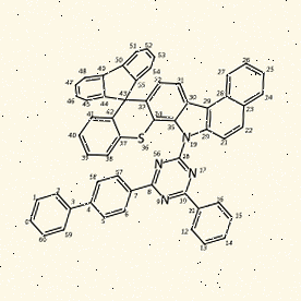 c1ccc(-c2ccc(-c3nc(-c4ccccc4)nc(-n4c5ccc6ccccc6c5c5ccc6c(c54)Sc4ccccc4C64c5ccccc5-c5ccccc54)n3)cc2)cc1